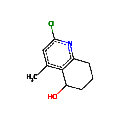 Cc1cc(Cl)nc2c1C(O)CCC2